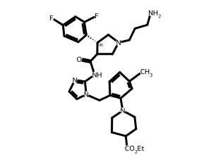 CCOC(=O)C1CCN(c2cc(C)ccc2Cn2ccnc2NC(=O)C2CN(CCCN)C[C@H]2c2ccc(F)cc2F)CC1